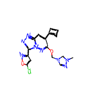 CN1CN(COc2nn3c(-c4cc(Cl)on4)nnc3cc2C2=CC=C2)C=N1